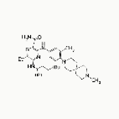 CCCC(CCC(C)CC)Nc1nc(Nc2ccc(N3CCC4(CCN(C)CC4)CC3)c(C)c2)c(C(N)=O)nc1CC